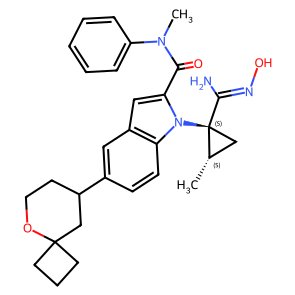 C[C@H]1C[C@]1(C(N)=NO)n1c(C(=O)N(C)c2ccccc2)cc2cc(C3CCOC4(CCC4)C3)ccc21